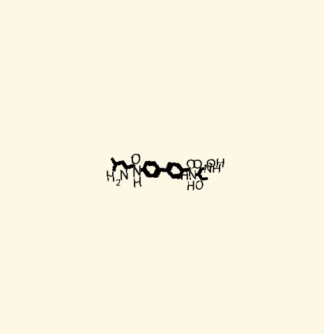 CC(C)CC(N)C(=O)Nc1ccc(-c2ccc(C(=O)NC(C(=O)NO)C(C)O)cc2)cc1